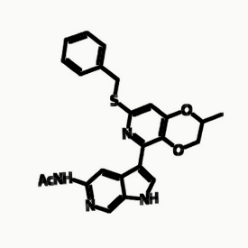 CC(=O)Nc1cc2c(-c3nc(SCc4ccccc4)cc4c3OCC(C)O4)c[nH]c2cn1